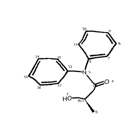 C[C@@H](O)C(=O)N(c1ccccc1)c1ccccc1